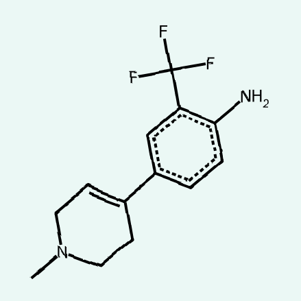 CN1CC=C(c2ccc(N)c(C(F)(F)F)c2)CC1